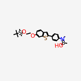 CB(O)N(C)c1ccc(-c2cc3ccc(OCCO[Si](C)(C)C(C)(C)C)cc3s2)cc1